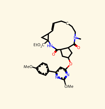 CCOC(=O)C12CC1/C=C/CCCCN(C)C(=O)C1CC(Oc3cc(-c4ccc(OC)cc4)nc(OC)n3)CC1C(=O)N2